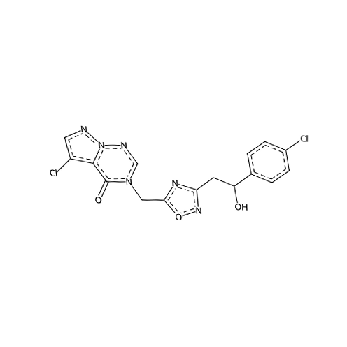 O=c1c2c(Cl)cnn2ncn1Cc1nc(CC(O)c2ccc(Cl)cc2)no1